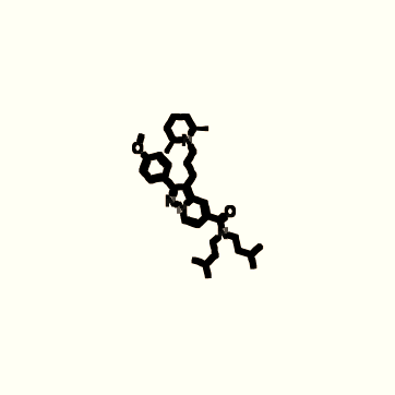 COc1ccc(-c2nn3ccc(C(=O)N(CCC(C)C)CCC(C)C)cc3c2CCCN2[C@H](C)CCC[C@@H]2C)cc1